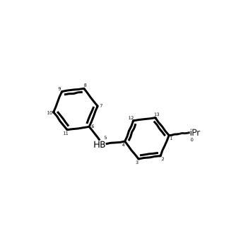 CC(C)c1ccc(Bc2ccccc2)cc1